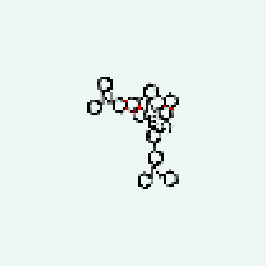 c1ccc(-c2cccc(-c3ccccc3)c2N2c3cc(-c4ccc(N(c5ccccc5)c5ccccc5)cc4)ccc3B3c4ccc(-c5ccc(N(c6ccccc6)c6ccccc6)cc5)cc4Oc4cccc2c43)cc1